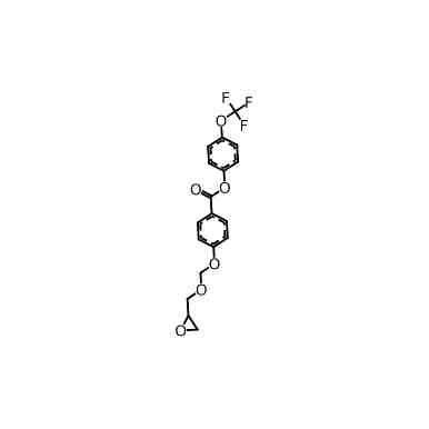 O=C(Oc1ccc(OC(F)(F)F)cc1)c1ccc(OCOCC2CO2)cc1